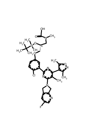 Cc1noc(C)c1-c1nc(-c2cc(OC[C@@H](CN(C)C(=O)O)O[Si](C)(C)C(C)(C)C)ccc2Cl)nc(N2Cc3cc(F)cnc3C2)c1C